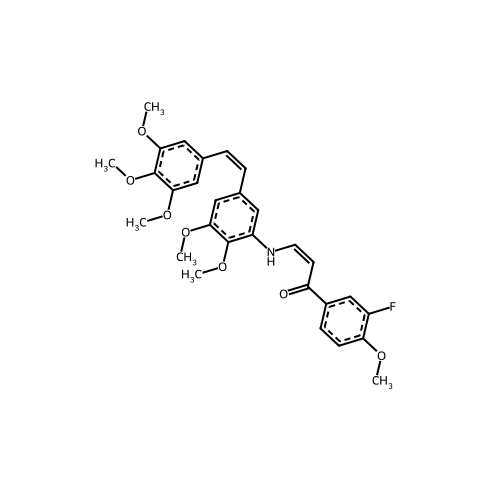 COc1ccc(C(=O)/C=C\Nc2cc(/C=C\c3cc(OC)c(OC)c(OC)c3)cc(OC)c2OC)cc1F